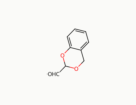 O=[C]C1OCc2ccccc2O1